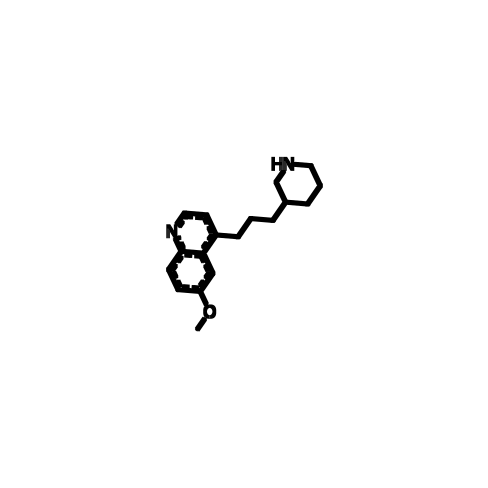 COc1ccc2nccc(CCCC3CCCNC3)c2c1